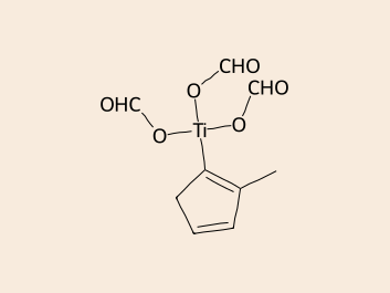 CC1=[C]([Ti]([O]C=O)([O]C=O)[O]C=O)CC=C1